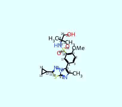 COc1ccc(-c2c(C)nc3sc(C4CC4)nn23)cc1S(=O)(=O)NC(C)(C)CO